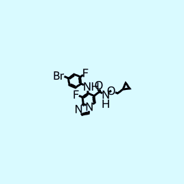 O=C(NOCC1CC1)c1cn2ccnc2c(F)c1Nc1ccc(Br)cc1F